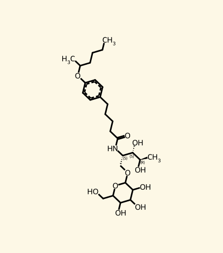 CCCCC(C)Oc1ccc(CCCCC(=O)N[C@@H](COC2OC(CO)C(O)C(O)C2O)[C@H](O)[C@@H](C)O)cc1